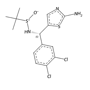 CC(C)(C)[S+]([O-])N[C@@H](c1ccc(Cl)c(Cl)c1)c1cnc(N)s1